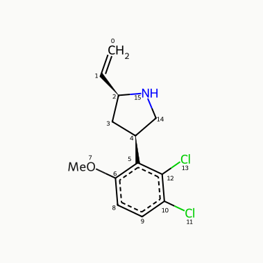 C=C[C@@H]1C[C@H](c2c(OC)ccc(Cl)c2Cl)CN1